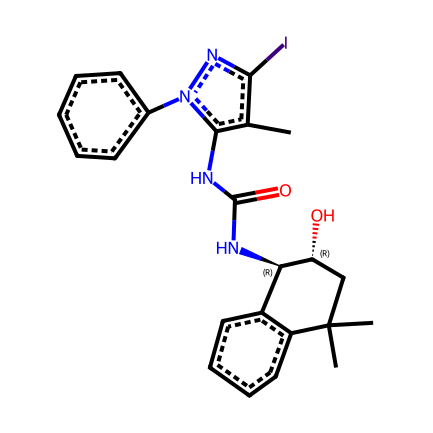 Cc1c(I)nn(-c2ccccc2)c1NC(=O)N[C@@H]1c2ccccc2C(C)(C)C[C@H]1O